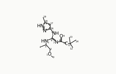 COCC(C)N/C(=N/C(=O)CC(C)(C)C)Nc1cc(C)[nH]n1